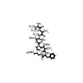 CCCOCCCNC(=O)C(Cc1ccccc1)NC(=O)[C@H](C)[C@@H](OC)[C@@H]1CCCN1C(=O)C[C@@H](OC)[C@H]([C@@H](C)CC)N(C)C(=O)[C@H](C)NC(=O)[C@H](C(C)C)N(C)C